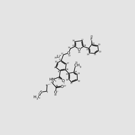 CSCC[C@H](NC(=O)c1ccc(COCc2ccc(-c3ccccc3F)o2)cc1-c1ccccc1C)C(=O)[O-].[Li+]